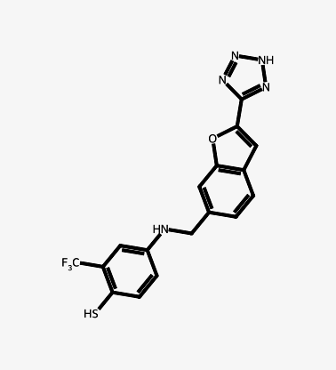 FC(F)(F)c1cc(NCc2ccc3cc(-c4nn[nH]n4)oc3c2)ccc1S